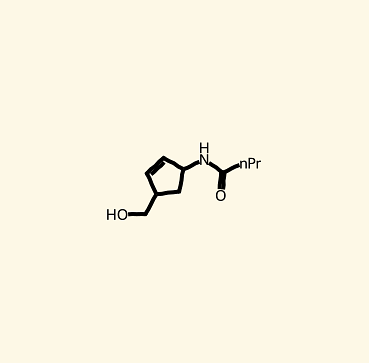 CCCC(=O)NC1C=CC(CO)C1